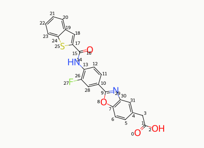 O=C(O)Cc1ccc2oc(-c3ccc(NC(=O)c4cc5ccccc5s4)c(F)c3)nc2c1